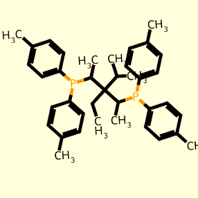 CCC(C(C)C)(C(C)P(c1ccc(C)cc1)c1ccc(C)cc1)C(C)P(c1ccc(C)cc1)c1ccc(C)cc1